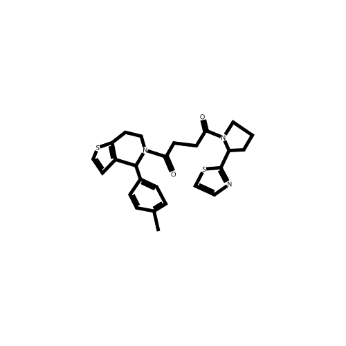 Cc1ccc(C2c3ccsc3CCN2C(=O)CCC(=O)N2CCCC2c2nccs2)cc1